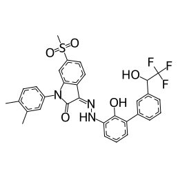 Cc1ccc(N2C(=O)C(=NNc3cccc(-c4cccc(C(O)C(F)(F)F)c4)c3O)c3ccc(S(C)(=O)=O)cc32)cc1C